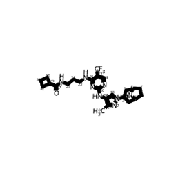 Cc1nn(C2CC3CCC(C2)N3C)cc1Nc1ncc(C(F)(F)F)c(NCCCNC(=O)C2CCC2)n1